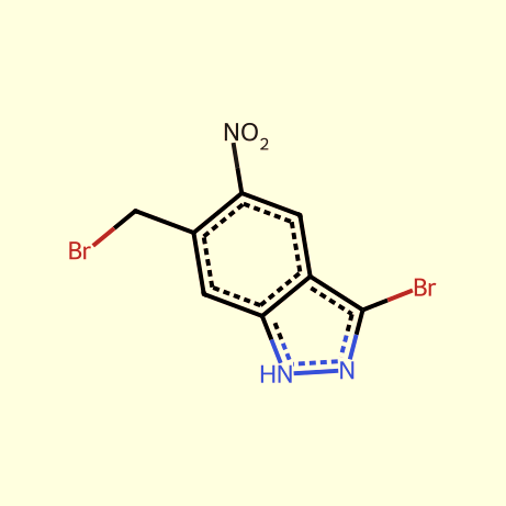 O=[N+]([O-])c1cc2c(Br)n[nH]c2cc1CBr